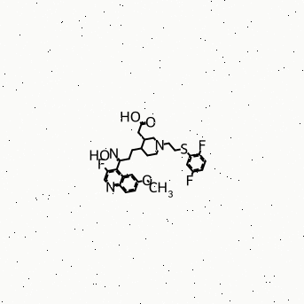 COc1ccc2ncc(F)c(/C(CCC3CCN(CCSc4cc(F)ccc4F)CC3CC(=O)O)=N\O)c2c1